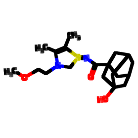 COCCN1C/S(=N\C(=O)C23CC4CC(CC(O)(C4)C2)C3)C(C)=C1C